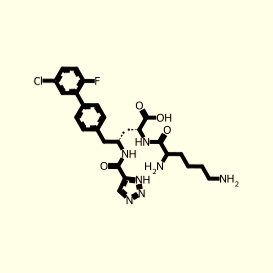 NCCCCC(N)C(=O)N[C@H](C[C@@H](Cc1ccc(-c2cc(Cl)ccc2F)cc1)NC(=O)c1cnn[nH]1)C(=O)O